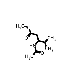 COC(=O)CC(NC(C)=O)C(C)C